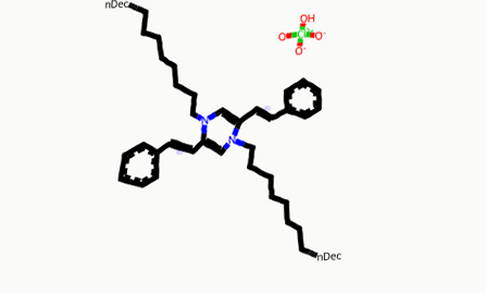 CCCCCCCCCCCCCCCCCCN1C=C(/C=C/c2ccccc2)N(CCCCCCCCCCCCCCCCCC)C=C1/C=C/c1ccccc1.[O-][Cl+3]([O-])([O-])O